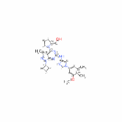 COc1cc(-n2cnc(Nc3nc(N4CCC[C@H]4CO)c4c(C)nn(C5CCC5)c4n3)c2)cc(C)c1C